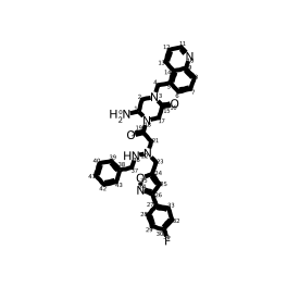 NC1CN(Cc2cccc3ncccc23)C(=O)CN1C(=O)CN(Cc1cc(-c2ccc(F)cc2)no1)NCc1ccccc1